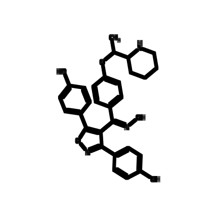 CC(Oc1ccc(C(=NO)c2c(-c3ccc(O)cc3)noc2-c2ccc(O)cc2)cc1)C1CCCCN1